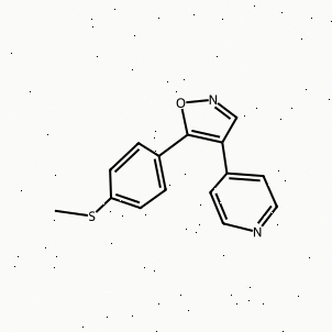 CSc1ccc(-c2oncc2-c2ccncc2)cc1